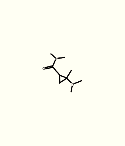 CN(C)C(=O)C1CC1(C)N(C)C